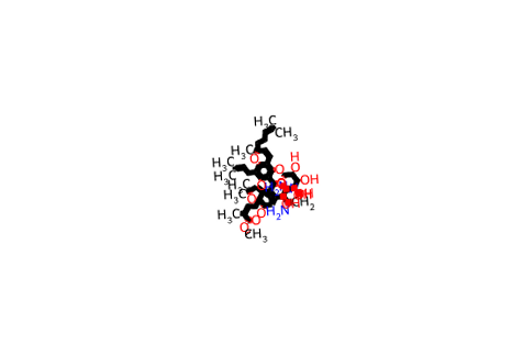 C=C(N)C(/C(N)=N\O)C1C2CC3C(C)(C)OC(C/C=C(/C)C(=O)OC)(C2=O)C32Oc3c(CC=C(C)C)c4c(c(O[C@@H]5O[C@H](CO)[C@@H](O)[C@H](O)[C@H]5O)c3C(=O)C12)C=CC(C)(CCC=C(C)C)O4